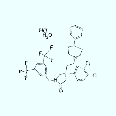 Cl.O.O=C1CC(CCN2CCC(c3ccccc3)CC2)(c2ccc(Cl)c(Cl)c2)CN1Cc1cc(C(F)(F)F)cc(C(F)(F)F)c1